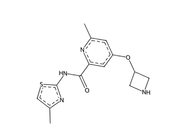 Cc1cc(OC2CNC2)cc(C(=O)Nc2nc(C)cs2)n1